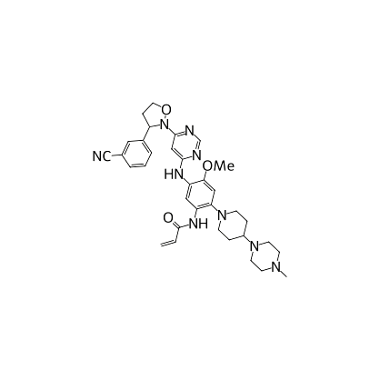 C=CC(=O)Nc1cc(Nc2cc(N3OCCC3c3cccc(C#N)c3)ncn2)c(OC)cc1N1CCC(N2CCN(C)CC2)CC1